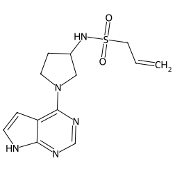 C=CCS(=O)(=O)NC1CCN(c2ncnc3[nH]ccc23)C1